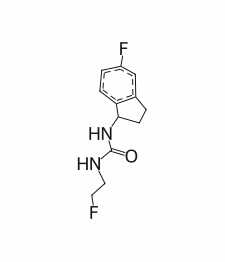 O=C(NCCF)NC1CCc2cc(F)ccc21